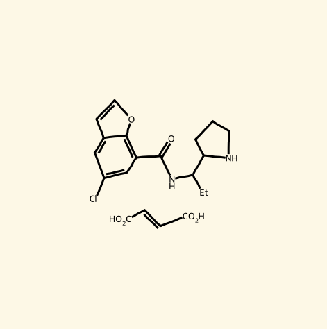 CCC(NC(=O)c1cc(Cl)cc2ccoc12)C1CCCN1.O=C(O)C=CC(=O)O